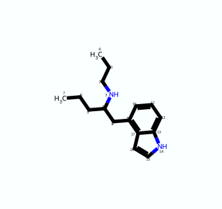 CCCNC(CCC)Cc1cccc2[nH]ccc12